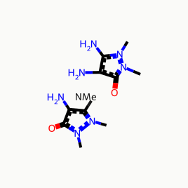 CNc1c(N)c(=O)n(C)n1C.Cn1c(N)c(N)c(=O)n1C